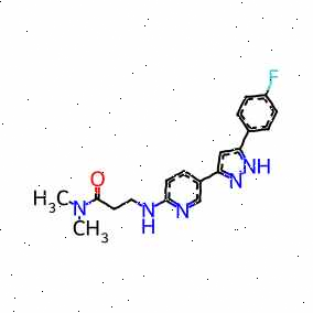 CN(C)C(=O)CCNc1ccc(-c2cc(-c3ccc(F)cc3)[nH]n2)cn1